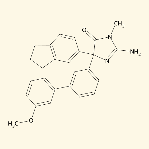 COc1cccc(-c2cccc(C3(c4ccc5c(c4)CCC5)N=C(N)N(C)C3=O)c2)c1